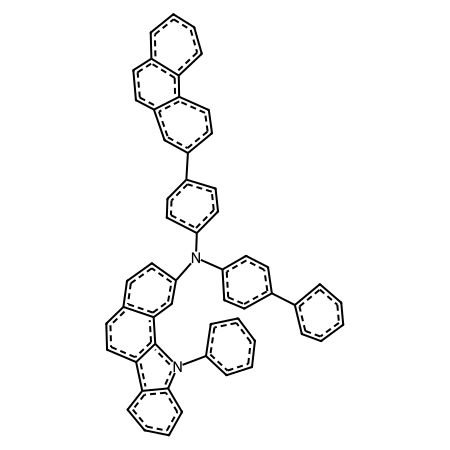 c1ccc(-c2ccc(N(c3ccc(-c4ccc5c(ccc6ccccc65)c4)cc3)c3ccc4ccc5c6ccccc6n(-c6ccccc6)c5c4c3)cc2)cc1